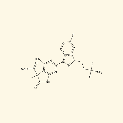 COC(=O)C1(C)C(=O)Nc2nc(-n3nc(CCC(F)(F)C(F)(F)F)c4cc(F)ccc43)nc(N)c21